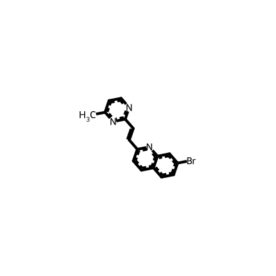 Cc1ccnc(C=Cc2ccc3ccc(Br)cc3n2)n1